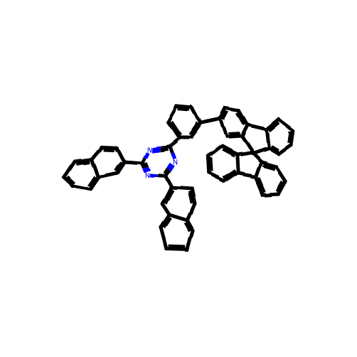 c1cc(-c2ccc3c(c2)C2(c4ccccc4-c4ccccc42)c2ccccc2-3)cc(-c2nc(-c3ccc4ccccc4c3)nc(-c3ccc4ccccc4c3)n2)c1